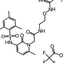 Cc1cc(C)c(S(=O)(=O)Nc2ccc(C)n(CC(=O)NCCONC(=N)N)c2=O)c(C)c1.O=C(O)C(F)(F)F